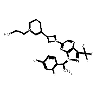 CC(c1ccc(Cl)cc1Cl)n1nc(C(F)(F)F)c2ncc(N3CC(C4CCCN(CCO)C4)C3)nc21